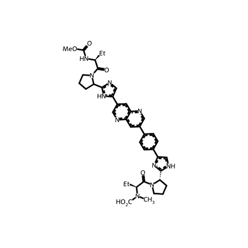 CC[C@H](NC(=O)OC)C(=O)N1CCCC1c1ncc(-c2cnc3cc(-c4ccc(-c5c[nH]c([C@@H]6CCCN6C(=O)[C@H](CC)N(C)C(=O)O)n5)cc4)cnc3c2)[nH]1